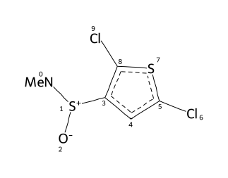 CN[S+]([O-])c1cc(Cl)sc1Cl